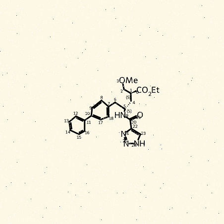 CCOC(=O)[C@H](COC)C[C@@H](Cc1ccc(-c2ccccc2)cc1)NC(=O)c1c[nH]nn1